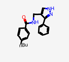 CCCCc1ccc(C(=O)NCc2c[nH]nc2-c2ccccc2)cc1